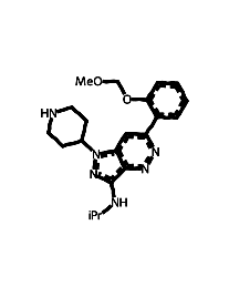 COCOc1ccccc1-c1cc2c(nn1)c(NC(C)C)nn2C1CCNCC1